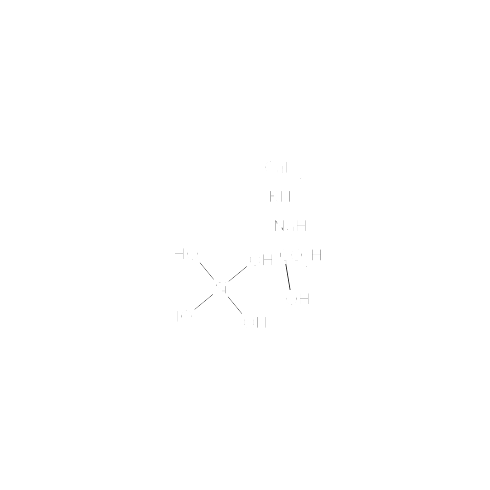 O=C(O)O.O[Si](O)(O)O.[CaH2].[KH].[NaH]